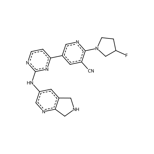 N#Cc1cc(-c2ccnc(Nc3cnc4c(c3)CNC4)n2)cnc1N1CCC(F)C1